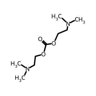 CN(C)CCOC(=O)OCCN(C)C